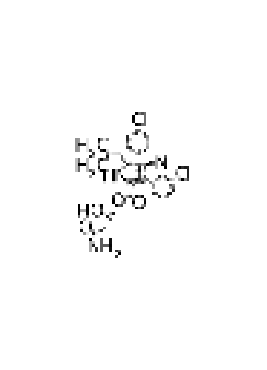 CC(C)C[C@@H]1N[C@@H](C(=O)OC[C@@H](O)CC(N)=O)[C@H](c2cccc(Cl)c2)[C@@]1(C#N)c1ccc(Cl)cc1